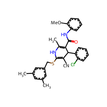 COc1ccccc1NC(=O)C1=C(C)NC(SCc2cc(C)cc(C)c2)=C(C#N)C1c1ccccc1Cl